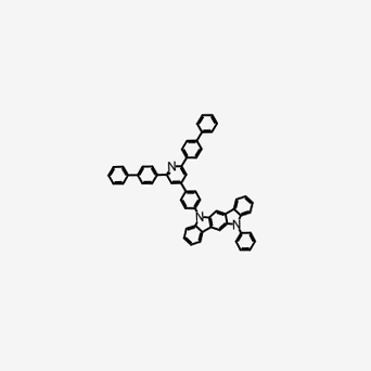 c1ccc(-c2ccc(-c3cc(-c4ccc(-n5c6ccccc6c6cc7c(cc65)c5ccccc5n7-c5ccccc5)cc4)cc(-c4ccc(-c5ccccc5)cc4)n3)cc2)cc1